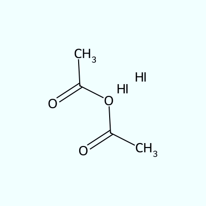 CC(=O)OC(C)=O.I.I